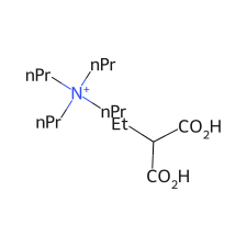 CCC(C(=O)O)C(=O)O.CCC[N+](CCC)(CCC)CCC